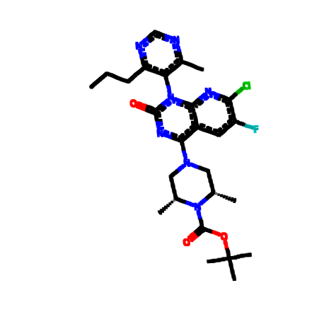 CCCc1ncnc(C)c1-n1c(=O)nc(N2C[C@@H](C)N(C(=O)OC(C)(C)C)[C@@H](C)C2)c2cc(F)c(Cl)nc21